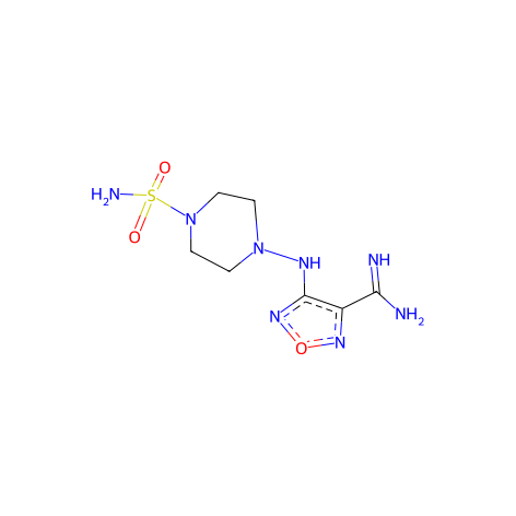 N=C(N)c1nonc1NN1CCN(S(N)(=O)=O)CC1